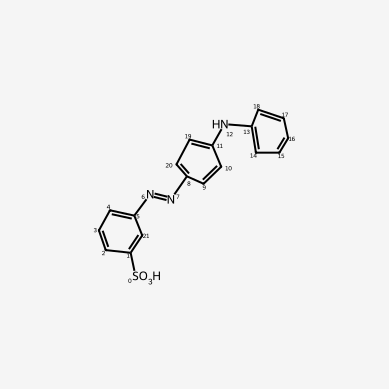 O=S(=O)(O)c1cccc(N=Nc2ccc(Nc3ccccc3)cc2)c1